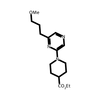 CCOC(=O)C1CCN(c2cncc(CCCOC)n2)CC1